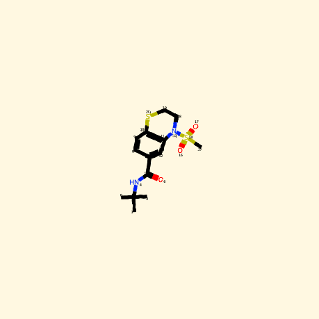 CC(C)(C)NC(=O)c1ccc2c(c1)N(S(C)(=O)=O)CCS2